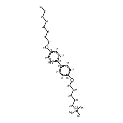 CCCCCCCCOc1cnc(-c2ccc(OCCCCC[Si](C)(C)C)cc2)nc1